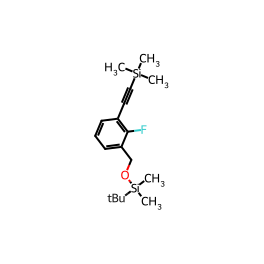 CC(C)(C)[Si](C)(C)OCc1cccc(C#C[Si](C)(C)C)c1F